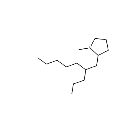 CCCCCC(CCC)CC1CCCN1C